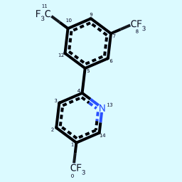 FC(F)(F)c1ccc(-c2cc(C(F)(F)F)cc(C(F)(F)F)c2)nc1